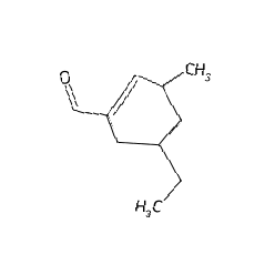 CCC1CC(C=O)=CC(C)C1